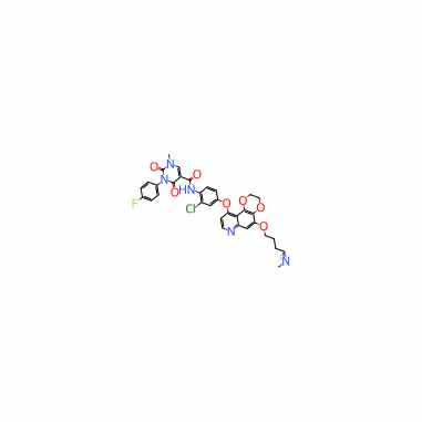 C/N=C\CCCOc1cc2nccc(Oc3ccc(NC(=O)c4cn(C)c(=O)n(-c5ccc(F)cc5)c4=O)c(Cl)c3)c2c2c1OCCO2